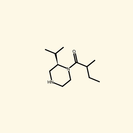 CCC(C)C(=O)N1CCNC[C@H]1C(C)C